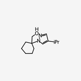 CC(C)c1cnn(C2(CO)CCCCC2)c1